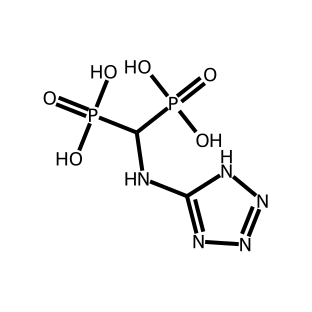 O=P(O)(O)C(Nc1nnn[nH]1)P(=O)(O)O